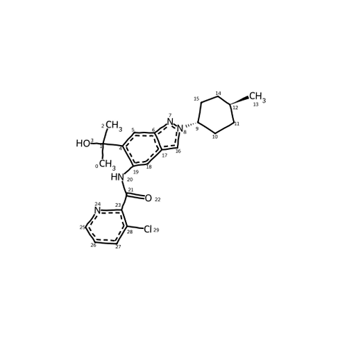 CC(C)(O)c1cc2nn([C@H]3CC[C@H](C)CC3)cc2cc1NC(=O)c1ncccc1Cl